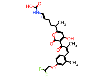 CC(=Cc1ccc(OCC(F)F)cc1C)C(=O)c1c(O)cc(C(C)CC/C=C/NC(=O)O)oc1=O